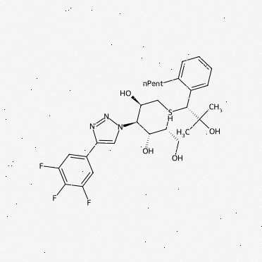 CCCCCc1ccccc1[C@@H]([SH]1C[C@H](O)[C@H](n2cc(-c3cc(F)c(F)c(F)c3)nn2)[C@@H](O)[C@H]1CO)C(C)(C)O